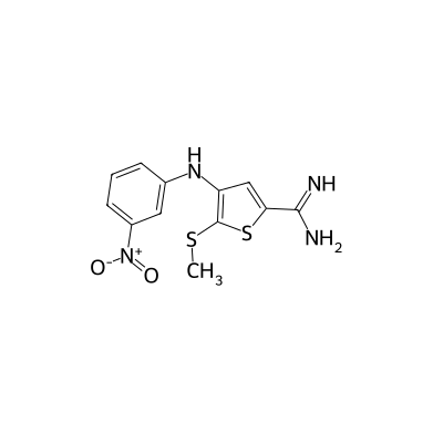 CSc1sc(C(=N)N)cc1Nc1cccc([N+](=O)[O-])c1